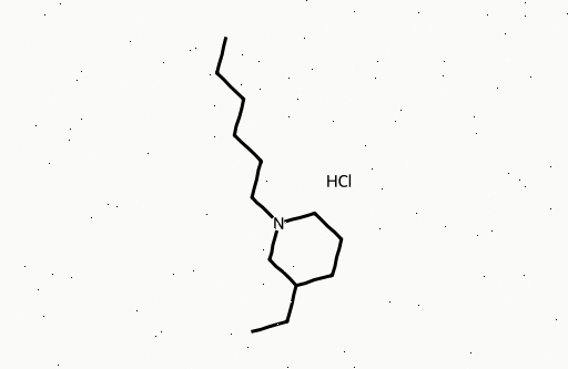 CCCCCCN1CCCC(CC)C1.Cl